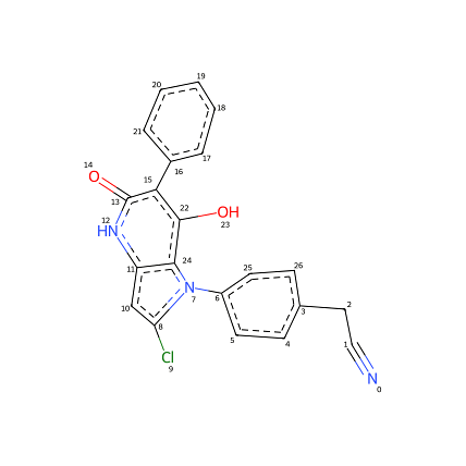 N#CCc1ccc(-n2c(Cl)cc3[nH]c(=O)c(-c4ccccc4)c(O)c32)cc1